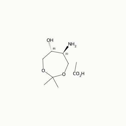 CC(=O)O.CC1(C)OC[C@H](N)[C@@H](O)CO1